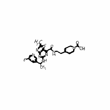 Cc1nc2nc(N[C@@H](C)c3cncc(F)c3)nc(C(=O)NCCC3CCN(C(=O)O)CC3)c2s1